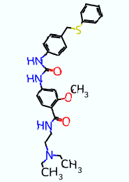 CCN(CC)CCNC(=O)c1ccc(NC(=O)Nc2ccc(CSc3ccccc3)cc2)cc1OC